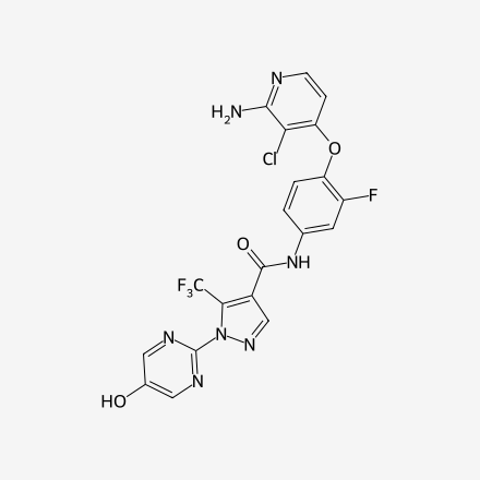 Nc1nccc(Oc2ccc(NC(=O)c3cnn(-c4ncc(O)cn4)c3C(F)(F)F)cc2F)c1Cl